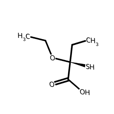 CCO[C@](S)(CC)C(=O)O